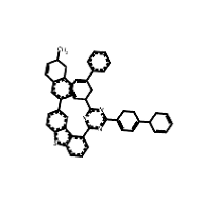 CC1C=Cc2cc(-c3ccc4sc5cccc(-c6nc(C7=CC=C(C8C=CC=CC8)CC7)nc(C7C=CC=C(c8ccccc8)C7)n6)c5c4c3)ccc2C1